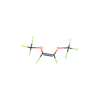 F/C(OC(F)(F)F)=C(\F)OC(F)(F)F